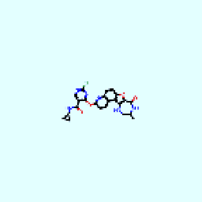 CC1CNc2c(oc3ccc4nc(Oc5nc(Cl)ncc5C(=O)NC5CC5)ccc4c23)C(=O)N1